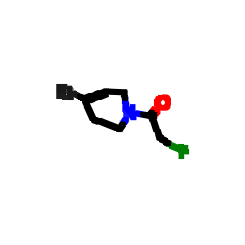 CCC1=CCN(C(=O)CF)CC1